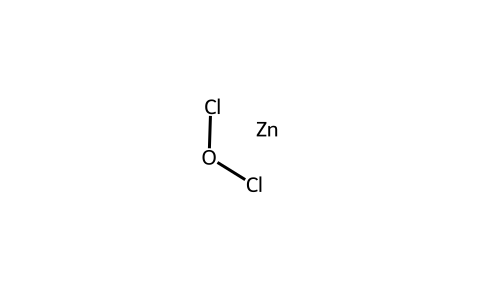 ClOCl.[Zn]